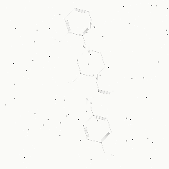 CC(C)c1ccc(NC(=O)N2CCN(c3ncccc3Cl)CC2C(C)C)cc1